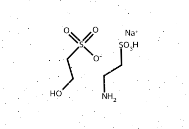 NCCS(=O)(=O)O.O=S(=O)([O-])CCO.[Na+]